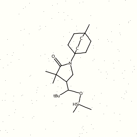 C[SiH](C)OC(C1CN(C23CCC(C)(CC2)CC3)C(=O)C1(C)C)C(C)(C)C